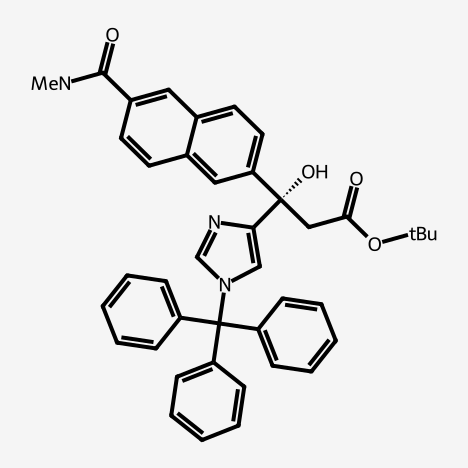 CNC(=O)c1ccc2cc([C@@](O)(CC(=O)OC(C)(C)C)c3cn(C(c4ccccc4)(c4ccccc4)c4ccccc4)cn3)ccc2c1